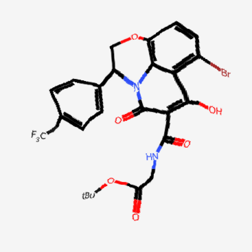 CC(C)(C)OC(=O)CNC(=O)c1c(O)c2c(Br)ccc3c2n(c1=O)C(c1ccc(C(F)(F)F)cc1)CO3